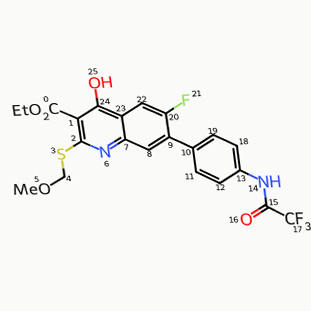 CCOC(=O)c1c(SCOC)nc2cc(-c3ccc(NC(=O)C(F)(F)F)cc3)c(F)cc2c1O